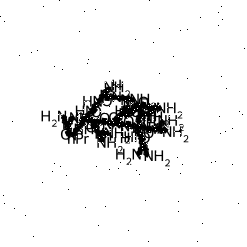 CCCN(CCNCCC(=O)N(CCNC(=O)CCNCCN(CCN)C(=O)CCNCCNCCN)CCN(CCC(=O)NCCN(CCNC(=O)CCN(CCNC(=O)CCN(CCN)CCN)CCNC(=O)CCN(CCN)CCN)C(=O)CCN(CCN)CCNC(=O)CCN(CCNCCN)C(=O)CCN(CCN)CCN)C(=O)CCN(CCN)CCN)C(=O)CCN(CCN)CCN